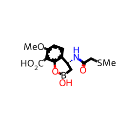 COc1ccc2c(c1C(=O)O)OB(O)C[C@H]2NC(=O)CSC